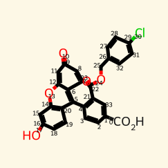 O=C(O)c1ccc(-c2c3ccc(=O)cc-3oc3cc(O)ccc23)c(C(=O)OCc2ccc(Cl)cc2)c1